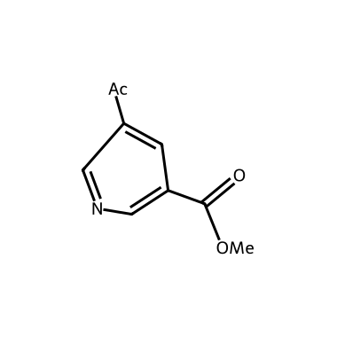 COC(=O)c1cncc(C(C)=O)c1